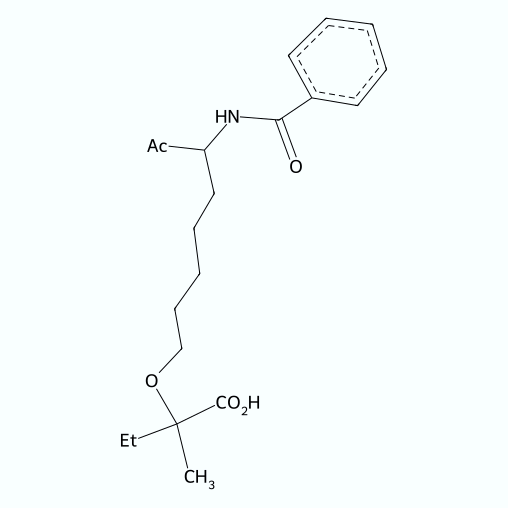 CCC(C)(OCCCCCC(NC(=O)c1ccccc1)C(C)=O)C(=O)O